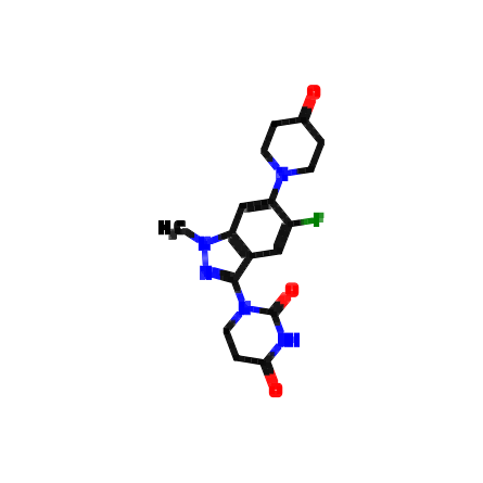 Cn1nc(N2CCC(=O)NC2=O)c2cc(F)c(N3CCC(=O)CC3)cc21